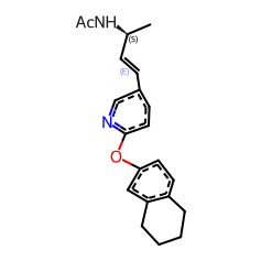 CC(=O)N[C@@H](C)/C=C/c1ccc(Oc2ccc3c(c2)CCCC3)nc1